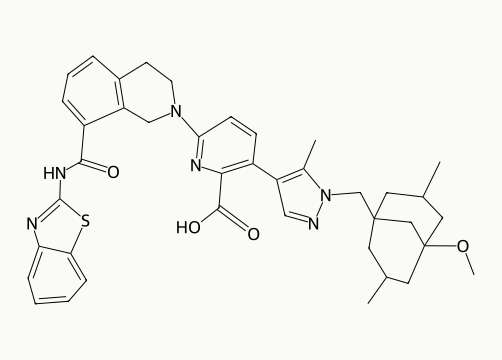 COC12CC(C)CC(Cn3ncc(-c4ccc(N5CCc6cccc(C(=O)Nc7nc8ccccc8s7)c6C5)nc4C(=O)O)c3C)(CC(C)C1)C2